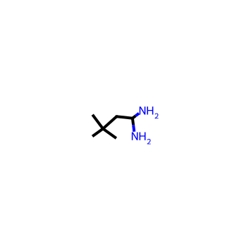 CC(C)(C)CC(N)N